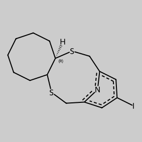 Ic1cc2nc(c1)CS[C@@H]1CCCCCCC1SC2